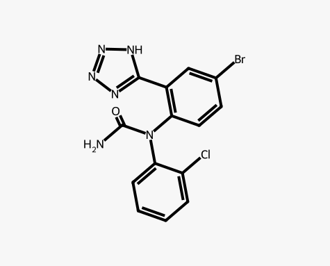 NC(=O)N(c1ccccc1Cl)c1ccc(Br)cc1-c1nnn[nH]1